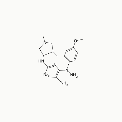 COc1ccc(N(N)c2nc(NC3CN(C)CC3C)ncc2N)cc1